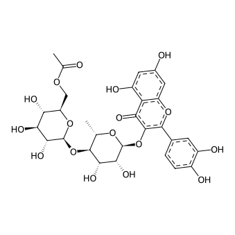 CC(=O)OC[C@H]1O[C@@H](O[C@@H]2[C@@H](O)[C@@H](O)[C@H](Oc3c(-c4ccc(O)c(O)c4)oc4cc(O)cc(O)c4c3=O)O[C@H]2C)[C@H](O)[C@@H](O)[C@@H]1O